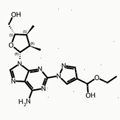 CCOC(O)c1cnn(-c2nc(N)c3ncn([C@@H]4O[C@H](CO)[C@@H](C)[C@H]4C)c3n2)c1